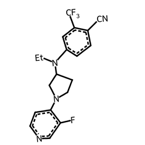 CCN(c1ccc(C#N)c(C(F)(F)F)c1)C1CCN(c2ccncc2F)C1